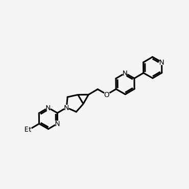 CCc1cnc(N2CC3C(COc4ccc(-c5ccncc5)nc4)C3C2)nc1